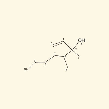 [CH]=CC(C)(O)C(C)CCCC